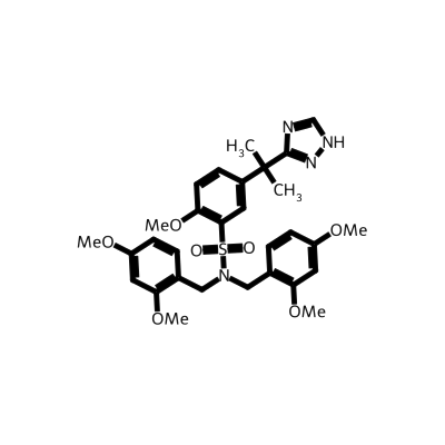 COc1ccc(CN(Cc2ccc(OC)cc2OC)S(=O)(=O)c2cc(C(C)(C)c3nc[nH]n3)ccc2OC)c(OC)c1